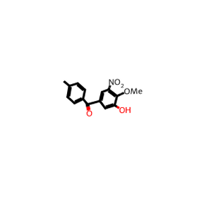 COc1c(O)cc(C(=O)c2ccc(C)cc2)cc1[N+](=O)[O-]